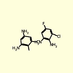 Cc1c(N)cc(N)cc1Cl.Nc1cc(F)cc(Cl)c1N